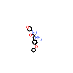 C[C@](N)(Cc1ccc(OC2CCCC2)cc1)C(=O)NC1CCOCC1